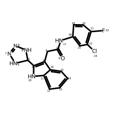 O=C(Cc1c(C2NN=NN2)[nH]c2ccccc12)Nc1ccc(F)c(Cl)c1